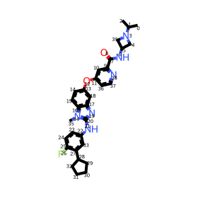 CC(C)N1CC(NC(=O)c2cc(Oc3ccc4c(c3)nc(Nc3ccc(F)c(C5CCCC5)c3)n4C)ccn2)C1